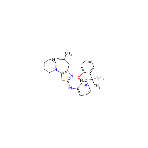 CC(C)Cc1nc(Nc2cccnc2Oc2ccccc2C(C)(C)C)sc1N1CCCCC1